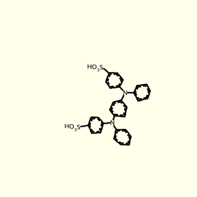 O=S(=O)(O)c1ccc(N(c2ccccc2)c2ccc(N(c3ccccc3)c3ccc(S(=O)(=O)O)cc3)cc2)cc1